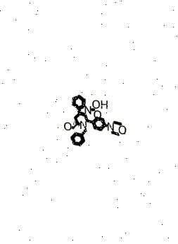 COC[C@H]1Cc2c(n(C(=O)O)c3ccccc23)C(c2ccc(N3CCOCC3)cc2)N1Cc1ccccc1